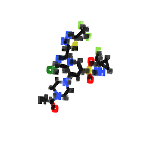 CC(C)C(=O)N1CCN(c2cc(S(=O)(=O)NC3(CF)CC3)cn3c(-c4nnc(C(F)F)s4)nc(Cl)c23)CC1